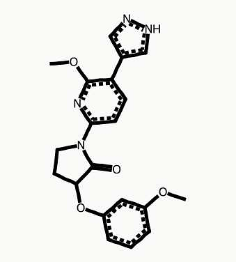 COc1cccc(OC2CCN(c3ccc(-c4cn[nH]c4)c(OC)n3)C2=O)c1